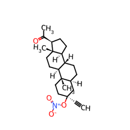 C#C[C@]1(O[N+](=O)[O-])CC[C@@]2(C)[C@@H](CC[C@@H]3[C@@H]2CC[C@]2(C)[C@@H](C(C)=O)CC[C@@H]32)C1